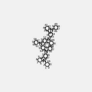 c1ccc(-n2c3ccccc3c3cc(-n4c5ccccc5c5c6c7c8c9ccccc9n(-c9ccc%10c(c9)c9ccccc9n%10-c9ccccc9)c8ccc7n(-c7ccccc7)c6ccc54)ccc32)cc1